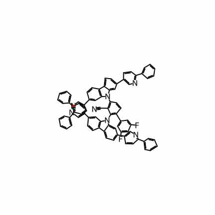 N#Cc1c(-n2c3cc(-c4ccc(-c5ccccc5)nc4)ccc3c3ccc(-c4ccc(-c5ccccc5)nc4)cc32)ccc(-c2cc(F)cc(F)c2)c1-n1c2cc(-c3ccc(-c4ccccc4)nc3)ccc2c2ccc(-c3ccc(-c4ccccc4)nc3)cc21